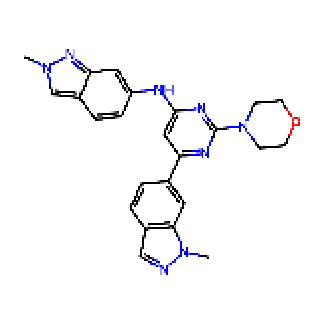 Cn1cc2ccc(Nc3cc(-c4ccc5cnn(C)c5c4)nc(N4CCOCC4)n3)cc2n1